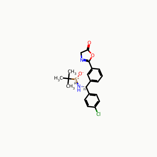 CC(C)(C)[S@+]([O-])N[C@@H](c1ccc(Cl)cc1)c1cccc(C2=NCC(=O)O2)c1